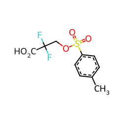 Cc1ccc(S(=O)(=O)OCC(F)(F)C(=O)O)cc1